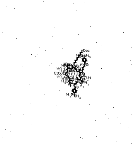 CCCCCCCCCCCCCCCCCCCCN1C(=O)C(CC(C)(C)C(C(=O)NCCCC)C(CC(C)(C)C(C(=O)OCC)C(CC(C)(C)C2C(=O)OC(=O)C2C)C(=O)O)C(=O)O)C(C(C)(C)CC2C(=O)N(CCCNC(=O)c3ccc(N(C)C)cc3)C(=O)C2C(C)(C)CC(C(=O)O)C(C(=O)NCCCNC(=O)c2ccc(N(C)C)cc2)C(C)(C)CC)C1=O